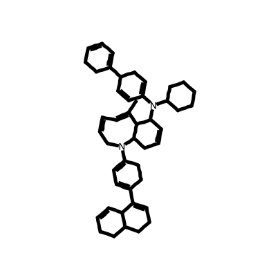 C/C1=C\C=C/CN(C2=CC=C(C3=CCCC4CCC=CC34)CC2)C2CC=CC(N(C3=CCC(C4=CC=CCC4)C=C3)C3CCCCC3)C12